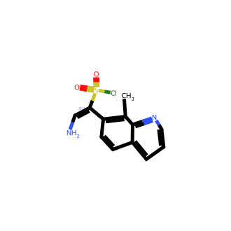 Cc1c(/C(=C\N)S(=O)(=O)Cl)ccc2cccnc12